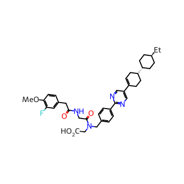 CC[C@H]1CC[C@H](C2CC=C(c3cnc(-c4ccc(CN(CC(=O)O)C(=O)CNC(=O)Cc5ccc(OC)c(F)c5)cc4)nc3)CC2)CC1